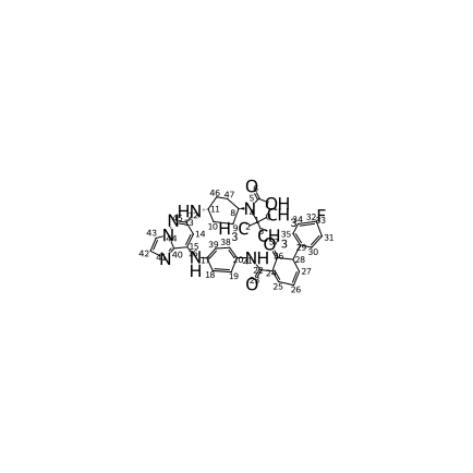 CC(C)(C)N(C(=O)O)[C@H]1CC[C@H](Nc2cc(Nc3ccc(NC(=O)C4=CC=CC(c5ccc(F)cc5)C4=O)cc3)c3nccn3n2)CC1